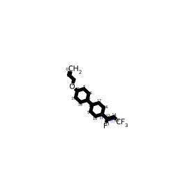 C=CCOC1CCC(C2CCC(/C(F)=C/C(F)(F)F)CC2)CC1